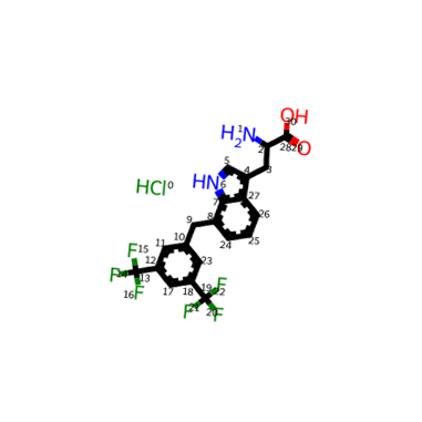 Cl.NC(Cc1c[nH]c2c(Cc3cc(C(F)(F)F)cc(C(F)(F)F)c3)cccc12)C(=O)O